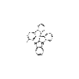 Ic1ccc2c(c1)C1(c3ccccc3-2)c2ccccc2-n2c1nc1ccccc12